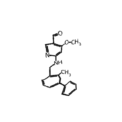 COc1cc(NCc2cccc(-c3ccccc3)c2C)ncc1C=O